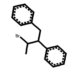 CC(Br)C(Cc1ccccc1)c1ccccc1